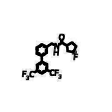 O=C(NCc1cccc(-c2cc(C(F)(F)F)cc(C(F)(F)F)c2)c1)C1CC[C@H](F)C1